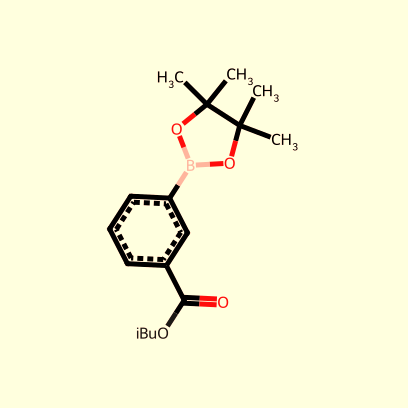 CC(C)COC(=O)c1cccc(B2OC(C)(C)C(C)(C)O2)c1